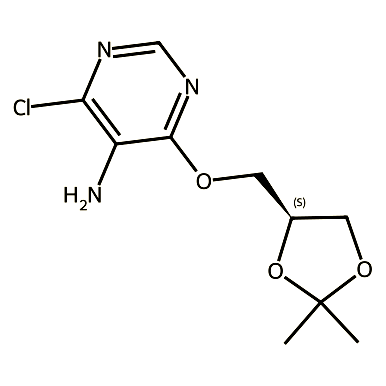 CC1(C)OC[C@H](COc2ncnc(Cl)c2N)O1